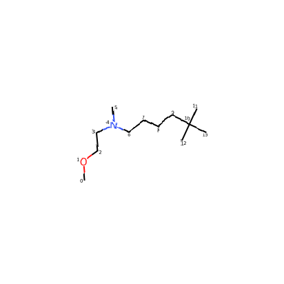 COCCN(C)CCCCC(C)(C)C